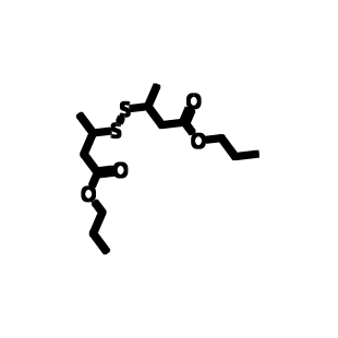 CCCOC(=O)CC(C)SSC(C)CC(=O)OCCC